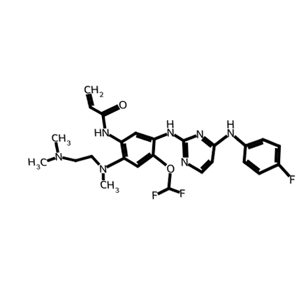 C=CC(=O)Nc1cc(Nc2nccc(Nc3ccc(F)cc3)n2)c(OC(F)F)cc1N(C)CCN(C)C